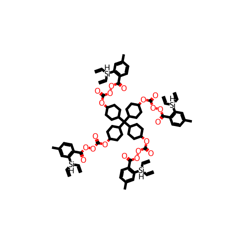 C=C[SiH](C=C)c1cc(C)ccc1C(=O)OOC(=O)OC1CCC(C(C2CCC(OC(=O)OOC(=O)c3ccc(C)cc3[SiH](C=C)C=C)CC2)(C2CCC(OC(=O)OOC(=O)c3ccc(C)cc3[SiH](C=C)C=C)CC2)C2CCC(OC(=O)OOC(=O)c3ccc(C)cc3[SiH](C=C)C=C)CC2)CC1